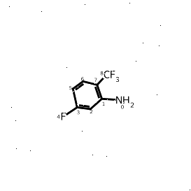 Nc1cc(F)ccc1C(F)(F)F